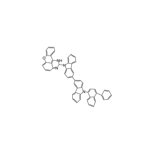 c1ccc(-c2ccc(-n3c4ccccc4c4cc(-c5ccc6c(c5)c5ccccc5n6C5N=c6cccc7c6=C(N5)c5ccccc5O7)ccc43)c3ccccc23)cc1